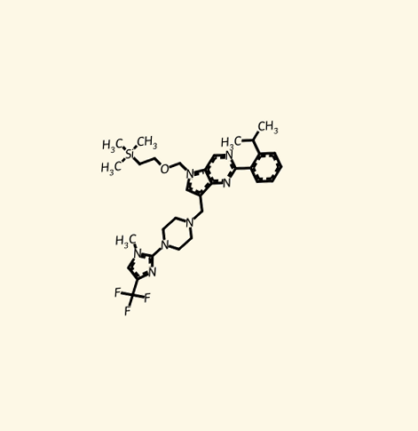 CC(C)c1ccccc1-c1ncc2c(n1)c(CN1CCN(c3nc(C(F)(F)F)cn3C)CC1)cn2COCC[Si](C)(C)C